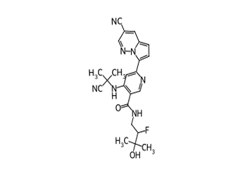 CC(C)(C#N)Nc1cc(-c2ccc3cc(C#N)cnn23)ncc1C(=O)NCC(F)C(C)(C)O